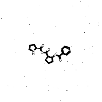 O=C(SC1CCCC1C(=O)OC(=O)[C@@H]1CCCN1)c1ccccc1